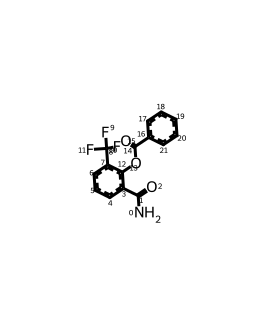 NC(=O)c1cccc(C(F)(F)F)c1OC(=O)c1ccccc1